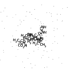 C=C(C)[C@@H]1CC[C@]2(CC(=O)N[C@@H]3CCNC3)CC[C@]3(C)[C@H](CC[C@@H]4[C@@]5(C)CC[C@H](OC(=O)CC(C)(C)CC(=O)O)C(C)(C)[C@@H]5CC[C@]43C)[C@@H]12